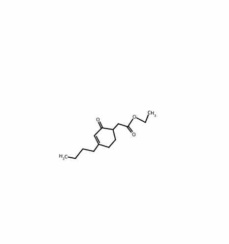 CCCCC1=CC(=O)C(CC(=O)OCC)CC1